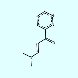 CN(C)C=CC(=O)c1cccnn1